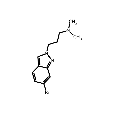 CN(C)CCCn1cc2ccc(Br)cc2n1